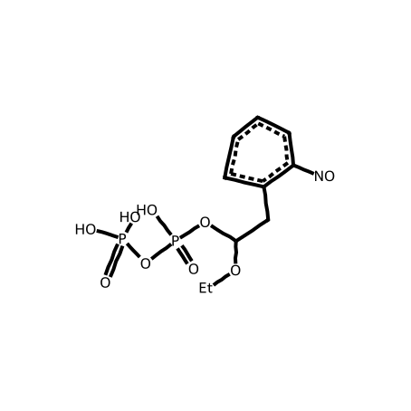 CCOC(Cc1ccccc1N=O)OP(=O)(O)OP(=O)(O)O